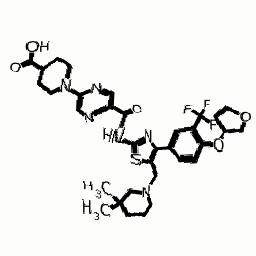 CC1(C)CCCN(Cc2sc(NC(=O)c3cnc(N4CCC(C(=O)O)CC4)cn3)nc2-c2ccc(O[C@H]3CCOC3)c(C(F)(F)F)c2)C1